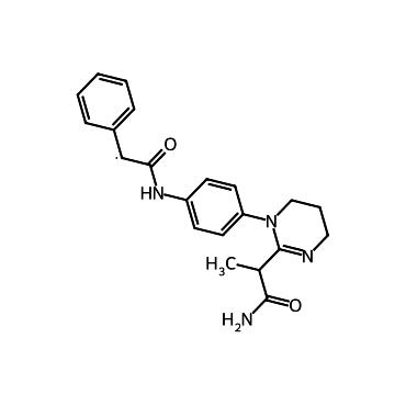 CC(C(N)=O)C1=NCCCN1c1ccc(NC(=O)[CH]c2ccccc2)cc1